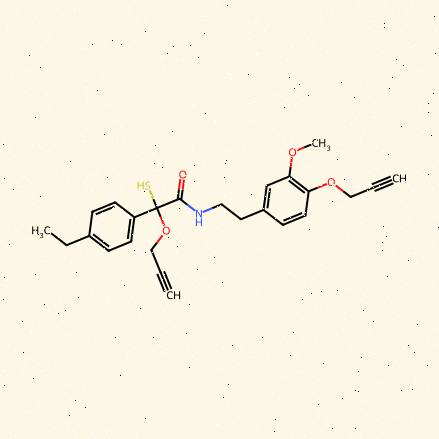 C#CCOc1ccc(CCNC(=O)C(S)(OCC#C)c2ccc(CC)cc2)cc1OC